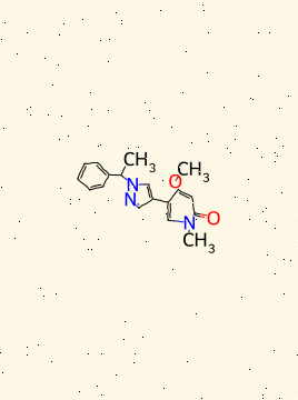 COc1cc(=O)n(C)cc1-c1cnn(C(C)c2ccccc2)c1